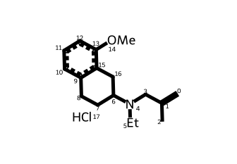 C=C(C)CN(CC)C1CCc2cccc(OC)c2C1.Cl